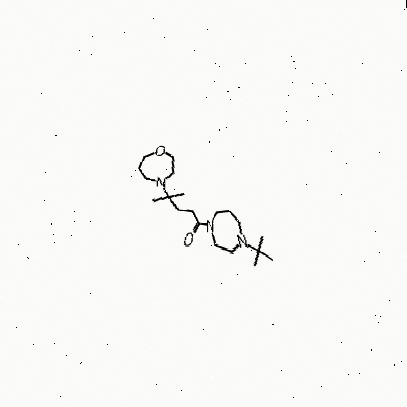 CC(C)(C)N1CCCN(C(=O)CCC(C)(C)N2CCCOCC2)CC1